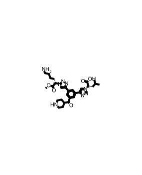 COC(=O)[C@H](CCCCN)n1cc(-c2cc(C(=O)C3CCNCC3)cc(-c3cn([C@@H](CC(C)C)C(=O)O)nn3)c2)nn1